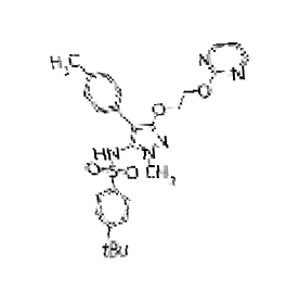 Cc1ccc(-c2c(OCCOc3ncccn3)nn(C)c2NS(=O)(=O)c2ccc(C(C)(C)C)cc2)cc1